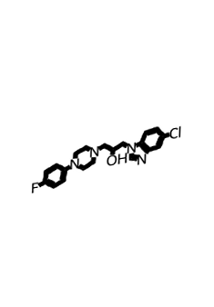 OC(CN1CCN(c2ccc(F)cc2)CC1)Cn1cnc2cc(Cl)ccc21